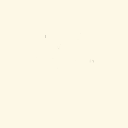 CC(C)OC(=O)N(C)C(=O)c1ccccc1